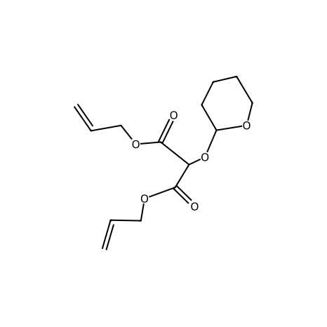 C=CCOC(=O)C(OC1CCCCO1)C(=O)OCC=C